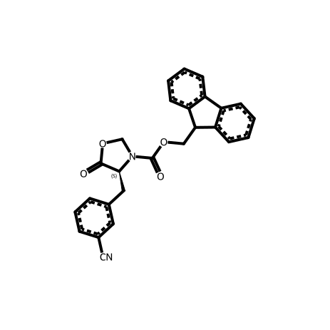 N#Cc1cccc(C[C@H]2C(=O)OCN2C(=O)OCC2c3ccccc3-c3ccccc32)c1